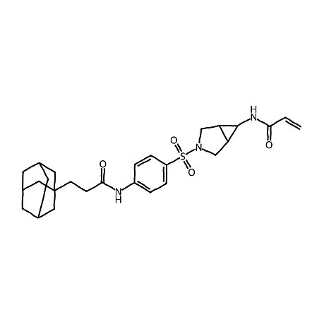 C=CC(=O)NC1C2CN(S(=O)(=O)c3ccc(NC(=O)CCC45CC6CC(CC(C6)C4)C5)cc3)CC21